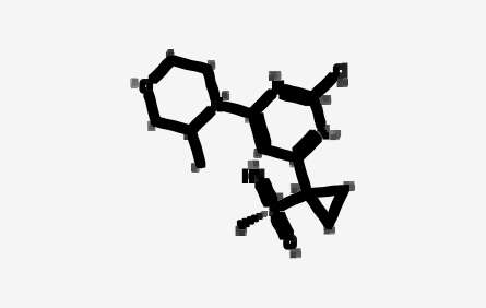 CC1COCCN1c1cc(C2([S@](C)(=N)=O)CC2)nc(Cl)n1